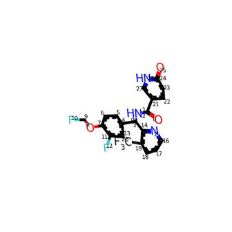 O=C(N[C@@H](c1ccc(OCF)c(F)c1)c1ncccc1C(F)(F)F)c1ccc(=O)[nH]c1